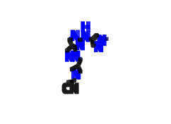 Cn1cc(Nc2ncc3cnn(CC4CN(CCC#N)C4)c3n2)cn1